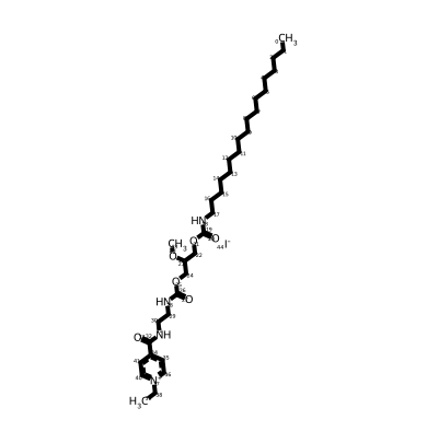 CCCCCCCCCCCCCCCCCCNC(=O)OCC(COC(=O)NCCNC(=O)c1cc[n+](CC)cc1)OC.[I-]